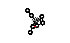 c1ccc(-c2ccc(-c3nc(-c4ccc(-c5ccccc5)cc4)nc(-n4c5ccccc5c5cccc(-c6ccccc6)c54)n3)cc2)cc1